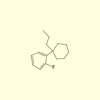 CCCC1(c2ccccc2F)CCCCC1